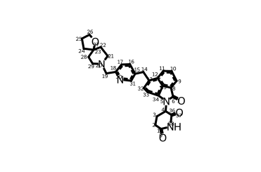 O=C1CCC(N2C(=O)c3cccc4c(Cc5ccc(CN6CCC7(CCCO7)CC6)nc5)ccc2c34)C(=O)N1